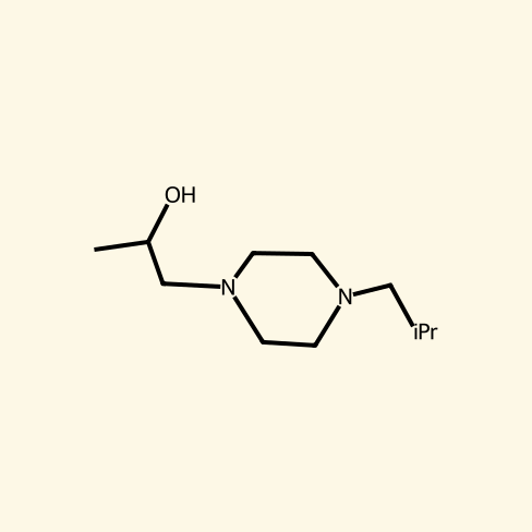 CC(C)CN1CCN(CC(C)O)CC1